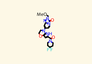 COCn1nc2cc(N3CCOc4cc(C(=O)N5CCC(F)(F)CC5)[nH]c43)ccn2c1=O